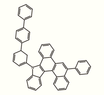 C1=CC(c2ccc(-c3ccccc3)cc2)CC(n2c3ccccc3c3c4c5ccccc5c(-c5ccccc5)cc4c4ccccc4c32)=C1